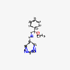 COC(CN=Cc1cncnc1)c1ccccc1